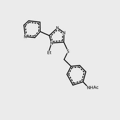 CCn1c(SCc2ccc(NC(C)=O)cc2)nnc1-c1cccnc1